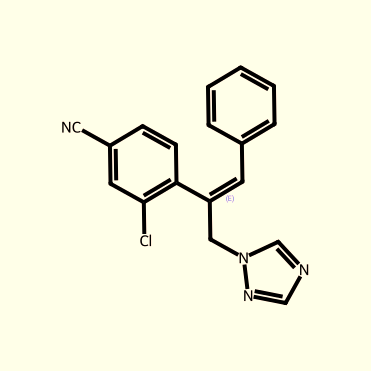 N#Cc1ccc(/C(=C\c2ccccc2)Cn2cncn2)c(Cl)c1